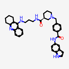 O=C(Nc1ccc2[nH]ccc2c1)c1ccc(CN2CCC[C@H](C(=O)NCCCNc3c4c(nc5ccccc35)CCCC4)C2)cc1